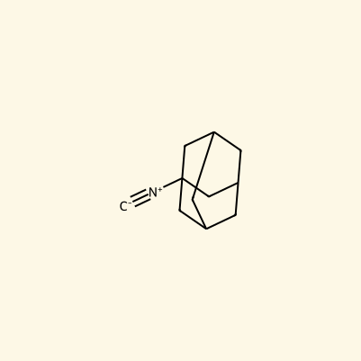 [C-]#[N+]C12CC3CC(CC(C3)C1)C2